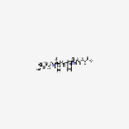 CCCCCC/N=C(\C)NCCCN/C(C)=N/CCCCCC